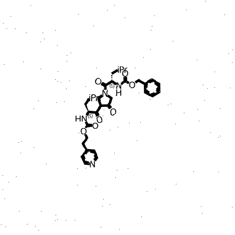 CC(C)C[C@H](NC(=O)OCCc1ccncc1)C(=O)C1CN(C(=O)[C@H](CC(C)C)NC(=O)OCc2ccccc2)CC1=O